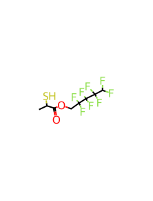 CC(S)C(=O)OCC(F)(F)C(F)(F)C(F)(F)C(F)F